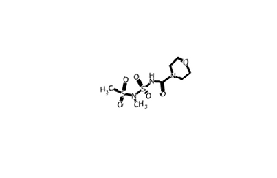 CN(S(C)(=O)=O)S(=O)(=O)NC(=O)N1CCOCC1